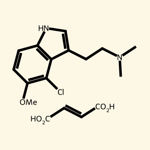 COc1ccc2[nH]cc(CCN(C)C)c2c1Cl.O=C(O)/C=C/C(=O)O